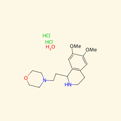 COc1cc2c(cc1OC)C(CCN1CCOCC1)NCC2.Cl.Cl.O